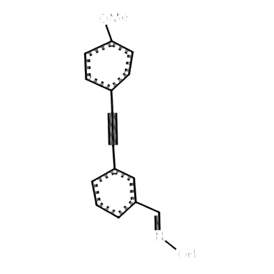 COc1ccc(C#Cc2cccc(/C=N/O)c2)cc1